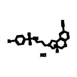 Cl.N#Cc1ccc2c(c1)C1CN(CCCNS(=O)(=O)c3ccc(Br)cc3)C[C@H]1CO2